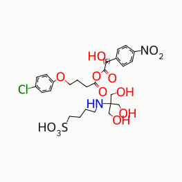 O=C(CCCOc1ccc(Cl)cc1)OC(=O)[C@@H](O)c1ccc([N+](=O)[O-])cc1.O=S(=O)(O)CCCCNC(CO)(CO)CO